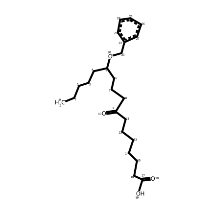 CCCCCC(CCCC(=O)CCCCCCC(=O)O)OCc1ccccc1